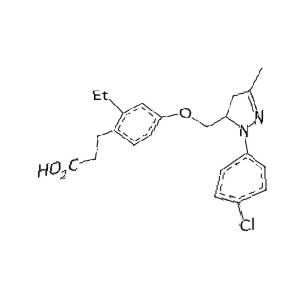 CCc1cc(OCC2CC(C)=NN2c2ccc(Cl)cc2)ccc1CCC(=O)O